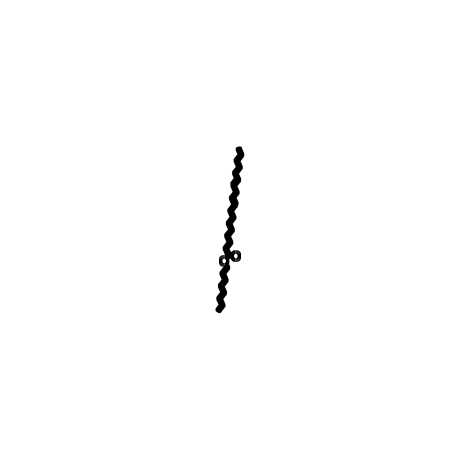 CCCCC/C=C/C/C=C/CCCCCCCC(=O)OCCCCCCCC